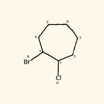 ClC1CCCCCC1Br